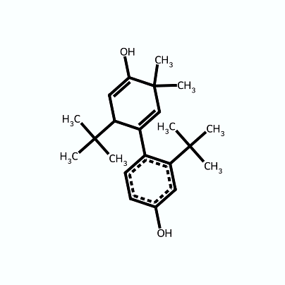 CC1(C)C=C(c2ccc(O)cc2C(C)(C)C)C(C(C)(C)C)C=C1O